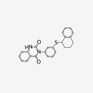 O=c1[nH]c2ccccc2c(=O)n1-c1cccc(SC2CCCc3ccccc32)c1